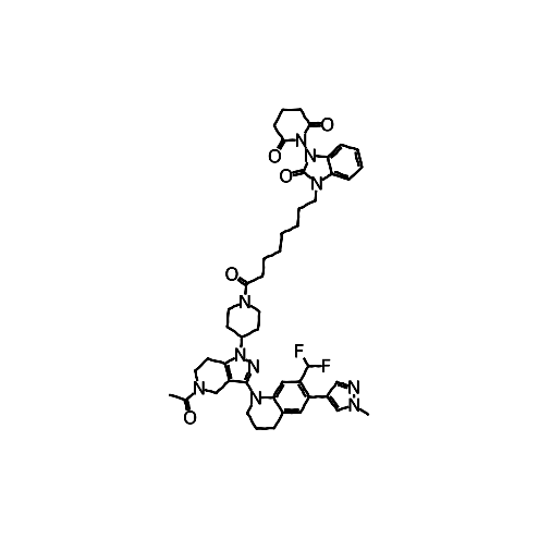 CC(=O)N1CCc2c(c(N3CCCc4cc(-c5cnn(C)c5)c(C(F)F)cc43)nn2C2CCN(C(=O)CCCCCCCn3c(=O)n(N4C(=O)CCCC4=O)c4ccccc43)CC2)C1